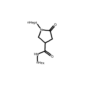 CCCCCCCN1CC(C(=O)NCCCCCC)CC1=O